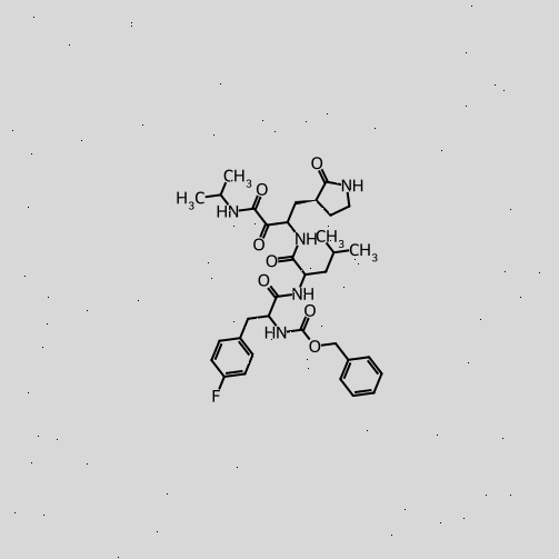 CC(C)CC(NC(=O)C(Cc1ccc(F)cc1)NC(=O)OCc1ccccc1)C(=O)NC(C[C@@H]1CCNC1=O)C(=O)C(=O)NC(C)C